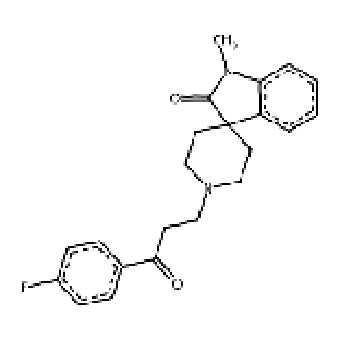 CN1C(=O)C2(CCN(CCC(=O)c3ccc(F)cc3)CC2)c2ccccc21